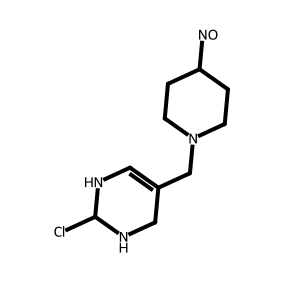 O=NC1CCN(CC2=CNC(Cl)NC2)CC1